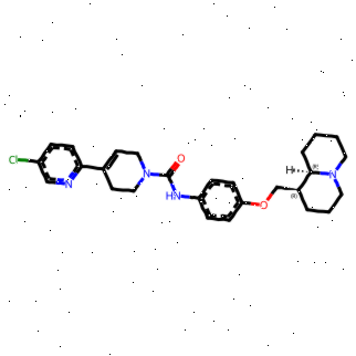 O=C(Nc1ccc(OC[C@@H]2CCCN3CCCC[C@H]23)cc1)N1CC=C(c2ccc(Cl)cn2)CC1